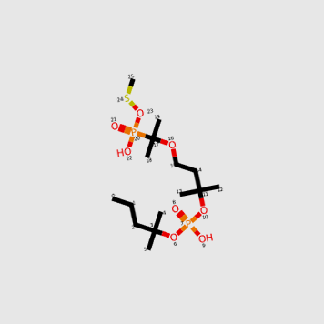 CCCC(C)(C)OP(=O)(O)OC(C)(C)CCOC(C)(C)P(=O)(O)OSC